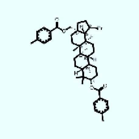 Cc1ccc(C(=O)OC[C@]23CC[C@@H](C(C)C)[C@@H]2[C@H]2CC[C@@H]4[C@@]5(C)CC[C@H](OC(=O)c6ccc(C)cc6)C(C)(C)[C@@H]5CC[C@@]4(C)[C@]2(C)CC3)cc1